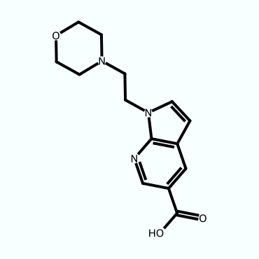 O=C(O)c1cnc2c(ccn2CCN2CCOCC2)c1